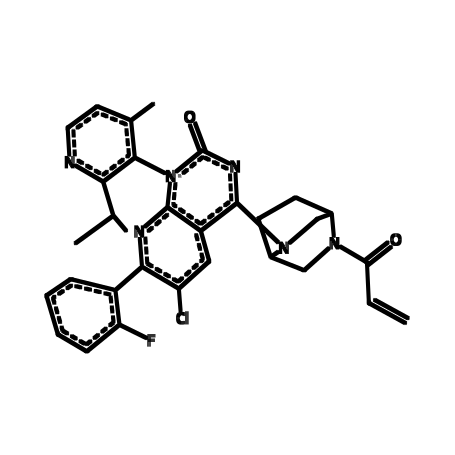 C=CC(=O)N1CC2CCC1CN2c1nc(=O)n(-c2c(C)ccnc2C(C)C)c2nc(-c3ccccc3F)c(Cl)cc12